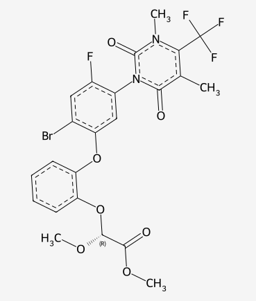 COC(=O)[C@H](OC)Oc1ccccc1Oc1cc(-n2c(=O)c(C)c(C(F)(F)F)n(C)c2=O)c(F)cc1Br